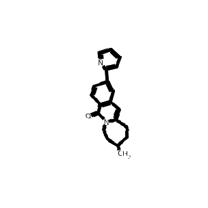 CC1CCc2cc3cc(-c4ccccn4)ccc3c(=O)n2CC1